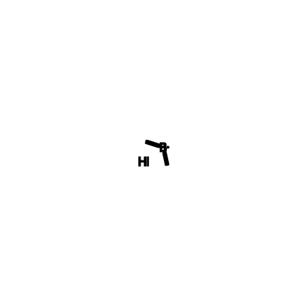 C[B]C.I